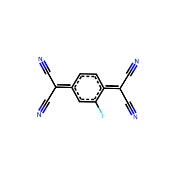 N#CC(C#N)=c1ccc(=C(C#N)C#N)c(F)c1